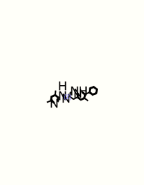 Cc1cc(C)c(N/N=C(\C=N)Cc2cc(C)c(-c3ccccc3)cn2)cn1